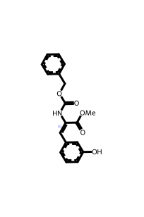 COC(=O)/C(=C\c1cccc(O)c1)NC(=O)OCc1ccccc1